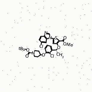 COC(=O)c1sc(-n2cnc3ccc(Cl)cc32)cc1O[C@H](C)c1cccc(OC2CCN(C(=O)OC(C)(C)C)CC2)c1Cl